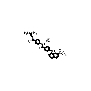 C/C(=N\N=C(N)N)c1ccc(NC(=O)c2ccc(Nc3ccnc4ccc(N(C)C)cc34)cc2)cc1.Cl.Cl